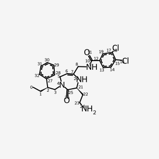 CC[C@H](CN1CC=C(CNC(=O)c2ccc(Cl)c(Cl)c2)N[C@@H](CCN)C1=O)c1ccccc1